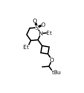 CCC1CCS(=O)(=O)N(CC)C1C1CC(OC(C)C(C)(C)C)C1